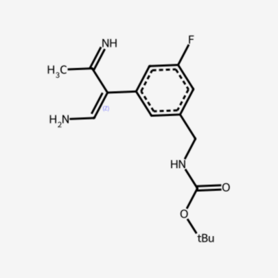 CC(=N)/C(=C\N)c1cc(F)cc(CNC(=O)OC(C)(C)C)c1